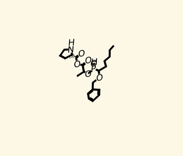 CCCCCC(OCc1ccccc1)[PH](=O)OC(C)C(=O)OC(=O)[C@@H]1CCCN1